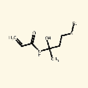 C=CC(=O)NC(C)(C)CCSCC